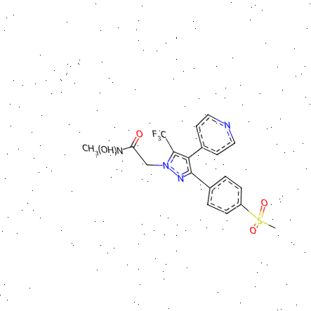 CN(O)C(=O)Cn1nc(-c2ccc(S(C)(=O)=O)cc2)c(-c2ccncc2)c1C(F)(F)F